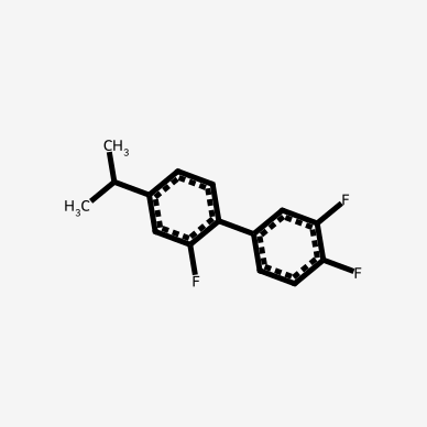 CC(C)c1ccc(-c2ccc(F)c(F)c2)c(F)c1